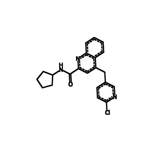 O=C(NC1CCCC1)c1cc(Cc2ccc(Cl)nc2)c2ccccc2n1